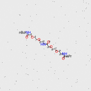 CCCCNC(=O)COCCOCCNC(=O)COCCOCCNC(=O)CCC